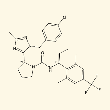 CC[C@H](NC(=O)N1CCC[C@@H]1c1nc(C)nn1Cc1ccc(Cl)cc1)c1c(C)cc(C(F)(F)F)cc1C